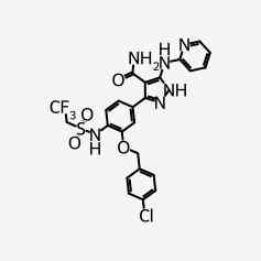 NC(=O)c1c(-c2ccc(NS(=O)(=O)CC(F)(F)F)c(OCc3ccc(Cl)cc3)c2)n[nH]c1Nc1ccccn1